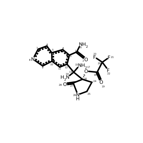 NC(=O)c1cc2ccncc2cc1C(N)(N)[C@@]1(OC(=O)C(F)(F)F)CCNC1=O